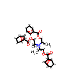 CC(COC(=O)C1CC2CCC1O2)N(C(C)COC(=O)C1CC2CCC1O2)C(C)COC(=O)C1CC2CCC1O2